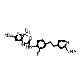 CC(=O)Nc1cc(CCc2ccc(NC(=O)Nc3cc(C(C)(C)C)nn3C)c(F)c2)ccn1